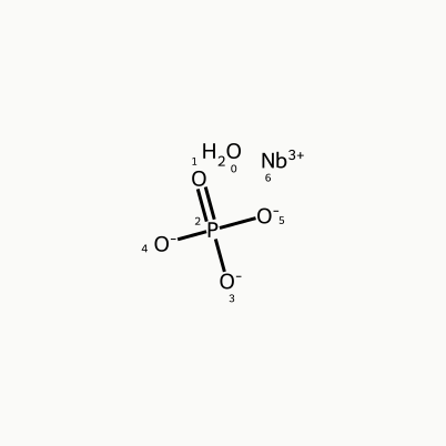 O.O=P([O-])([O-])[O-].[Nb+3]